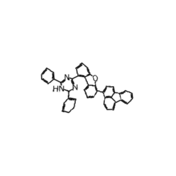 C1=CC(C2N=C(c3cccc4oc5c(-c6ccc7c8c(cccc68)-c6ccccc6-7)cccc5c34)N=C(c3ccccc3)N2)=CCC1